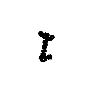 C/C(=C(/C)c1cc2ccc3cccc4c3c2c(c1)n4-c1ccccc1)c1ccc2c(c1)Cc1cc(N(c3ccc4ccccc4c3)c3cc4ccccc4c4ccccc34)ccc1-2